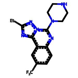 CCc1nc2c3cc(C(F)(F)F)ccc3nc(N3CCNCC3)n2n1